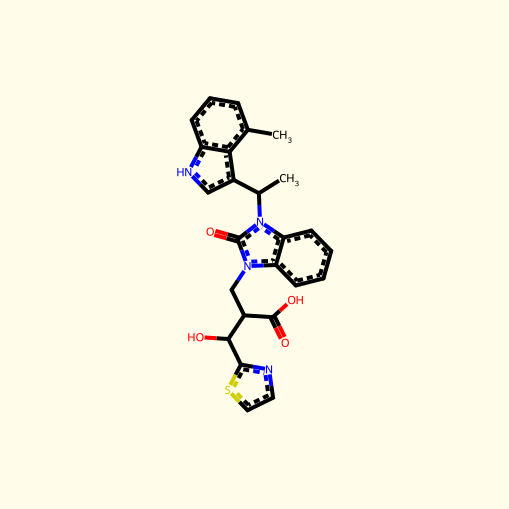 Cc1cccc2[nH]cc(C(C)n3c(=O)n(CC(C(=O)O)C(O)c4nccs4)c4ccccc43)c12